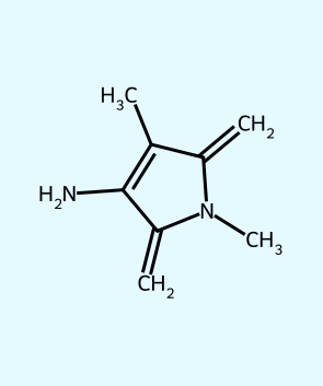 C=c1c(C)c(N)c(=C)n1C